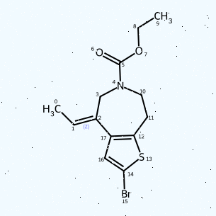 C/C=C1\CN(C(=O)OCC)CCc2sc(Br)cc21